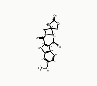 O=C1NC2(CO1)CN(C(=O)c1sc3cc(OC(F)(F)F)ccc3c1C(F)F)C2